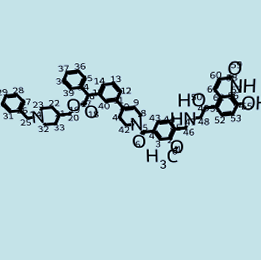 COc1cc(C(=O)N2CC=C(c3cccc(C(C(=O)OCC4CCN(Cc5ccccc5)CC4)c4ccccc4)c3)CC2)ccc1CNCC(O)c1ccc(O)c2[nH]c(=O)ccc12